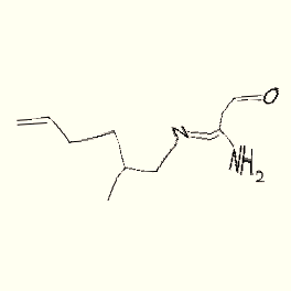 C=CCCC(C)C/N=C(\N)C=O